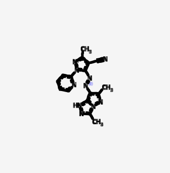 Cc1nn(-c2ccccn2)c(/N=N/c2c(C)nn3c(C)n[nH]c23)c1C#N